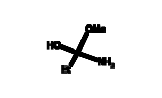 CCC(N)(O)OC